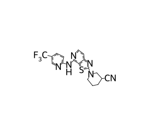 N#CC1CCCN(c2nc3ccnc(Nc4ccc(C(F)(F)F)cn4)c3s2)C1